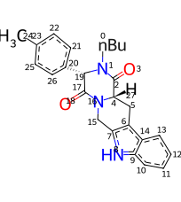 CCCCN1C(=O)[C@@H]2Cc3c([nH]c4ccccc34)CN2C(=O)[C@@H]1c1ccc(C)cc1